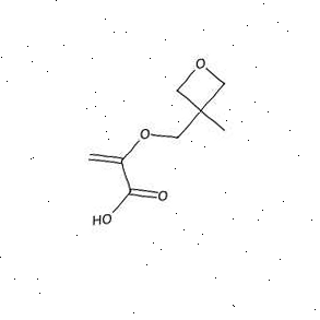 C=C(OCC1(C)COC1)C(=O)O